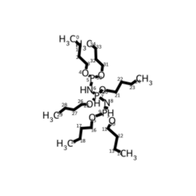 CCCCOP(N[PH](N=[PH](OCCCC)OCCCC)(OCCCC)OCCCC)OCCCC